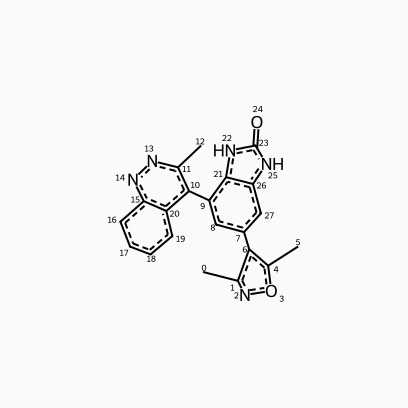 Cc1noc(C)c1-c1cc(-c2c(C)nnc3ccccc23)c2[nH]c(=O)[nH]c2c1